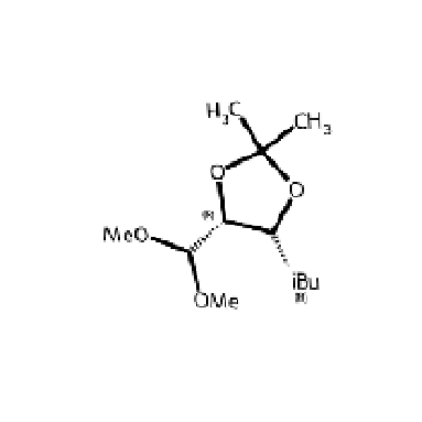 CC[C@@H](C)C1OC(C)(C)O[C@H]1C(OC)OC